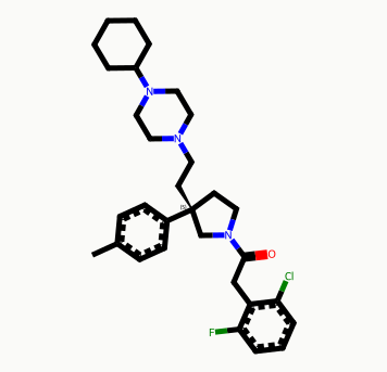 Cc1ccc([C@]2(CCN3CCN(C4CCCCC4)CC3)CCN(C(=O)Cc3c(F)cccc3Cl)C2)cc1